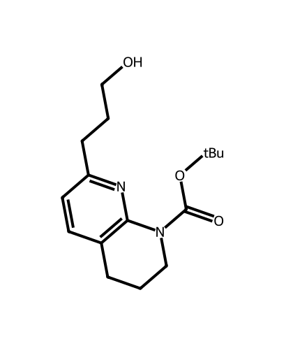 CC(C)(C)OC(=O)N1CCCc2ccc(CCCO)nc21